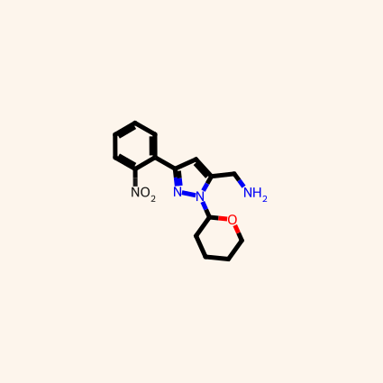 NCc1cc(-c2ccccc2[N+](=O)[O-])nn1C1CCCCO1